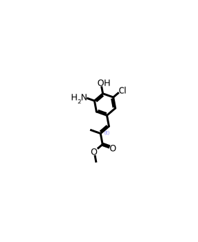 COC(=O)/C(C)=C/c1cc(N)c(O)c(Cl)c1